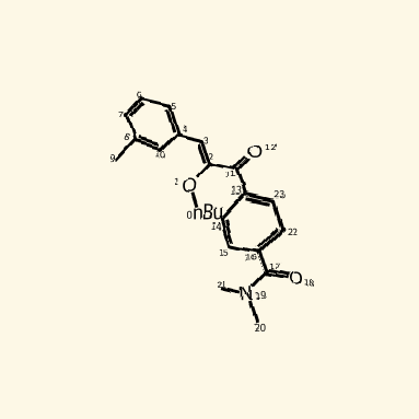 CCCCOC(=Cc1cccc(C)c1)C(=O)c1ccc(C(=O)N(C)C)cc1